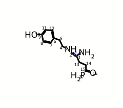 N/C(=C\NCCc1ccc(O)cc1)CCC(=O)P